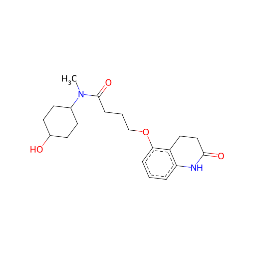 CN(C(=O)CCCOc1cccc2c1CCC(=O)N2)C1CCC(O)CC1